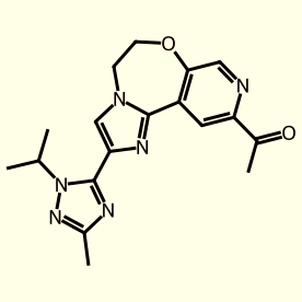 CC(=O)c1cc2c(cn1)OCCn1cc(-c3nc(C)nn3C(C)C)nc1-2